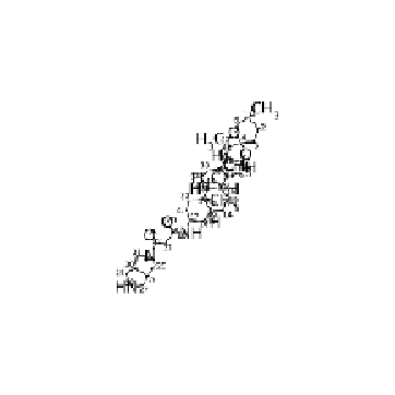 C[C@H]1CC[C@@]2(OC1)O[C@H]1C[C@@]3(C)[C@@H]4CC[C@@H]5C[C@@H](NC(=O)CC(=O)N6CC7CNCC7C6)CC[C@]5(C)[C@H]4CC[C@]3(C)[C@H]1[C@@H]2C